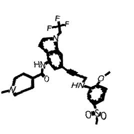 COc1ccc(S(C)(=O)=O)cc1NCC#Cc1cc(NC(=O)C2CCN(C)CC2)c2ccn(CC(F)(F)F)c2c1